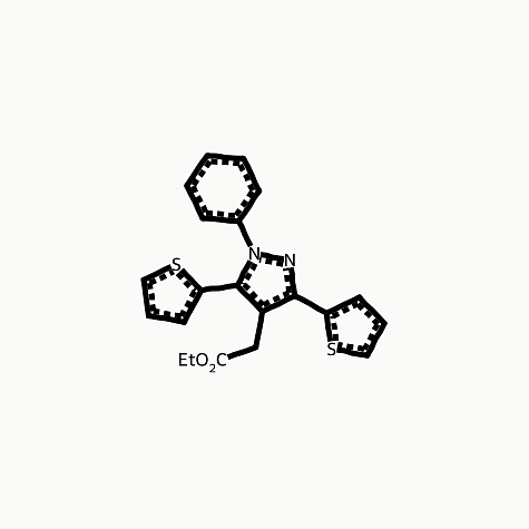 CCOC(=O)Cc1c(-c2cccs2)nn(-c2ccccc2)c1-c1cccs1